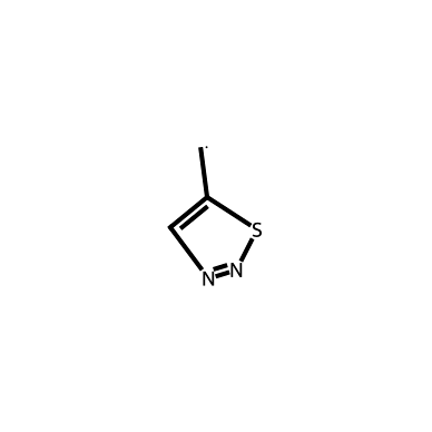 [CH2]c1cnns1